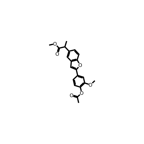 COC(=O)C(C)c1ccc2oc(-c3ccc(OC(C)=O)c(OC)c3)cc2c1